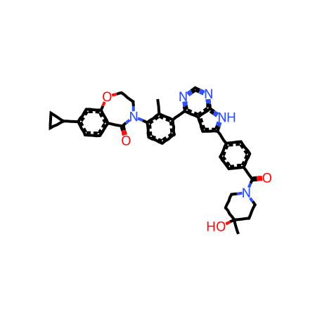 Cc1c(-c2ncnc3[nH]c(-c4ccc(C(=O)N5CCC(C)(O)CC5)cc4)cc23)cccc1N1CCOc2cc(C3CC3)ccc2C1=O